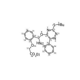 CCCCSc1nnc2c(n1)OC(c1ccccc1OCC(=O)OCC)Nc1ccccc1-2